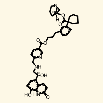 O=C(OCCCc1cccc(C2(C(=O)O[C@H]3CN4CCC3CC4)CCCCC2)c1)c1ccc(CNC[C@@H](O)c2ccc(O)c3[nH]c(=O)ccc23)nc1